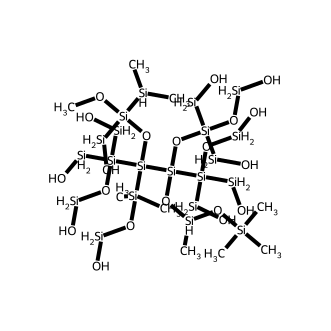 CO[Si](O[Si]([Si](C)(C)O[SiH2]O)([Si](O[SiH2]O)([SiH2]O)[SiH2]O)[Si](O[SiH](C)O[Si](C)(C)C)(O[Si](O[SiH2]O)([SiH2]O)[SiH2]O)[Si](O[SiH2]O)([SiH2]O)[SiH2]O)([SiH2]O)[SiH](C)C